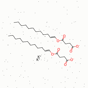 CCCCCCCCCCC=COC(=O)CCC(=O)[O-].CCCCCCCCCCC=COC(=O)CCC(=O)[O-].[K+].[K+]